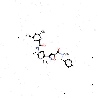 Cc1ccc(NC(=O)c2cc(C#N)cc(C(C)(C)C)c2)cc1-c1cc(C(=O)N(C)Cc2ccccc2)on1